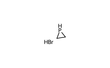 Br.C1CP1